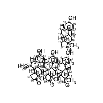 C[C@]12CC[C@@H](O)C[C@@H]1CC[C@@H]1[C@@H]2CC[C@]2(C)C(=O)CC[C@@H]12.C[C@]12CC[C@@H](O)C[C@@H]1CC[C@@H]1[C@@H]2CC[C@]2(C)C(=O)CC[C@@H]12.C[C@]12CC[C@@H](O)C[C@@H]1CC[C@@H]1[C@@H]2CC[C@]2(C)C(=O)CC[C@@H]12.C[C@]12CC[C@@H](O)C[C@@H]1CC[C@@H]1[C@@H]2CC[C@]2(C)C(=O)CC[C@@H]12.S.S